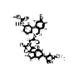 Cn1cc(-c2ccc3c(c2)CC[C@@]32OC(=O)N(CC(=O)N(Cc3ccc(F)cc3)[C@H]3CC[C@H](NC(=O)O)CC3)C2=O)cn1